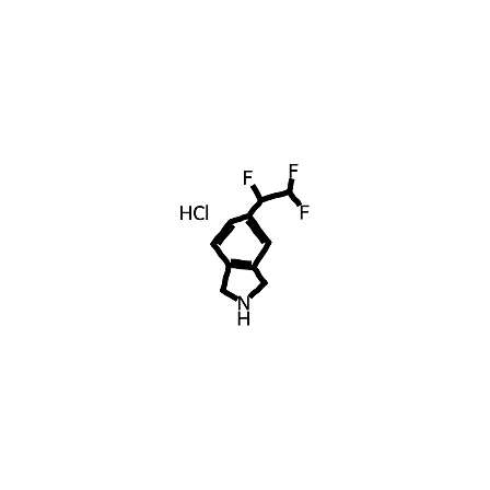 Cl.FC(F)C(F)c1ccc2c(c1)CNC2